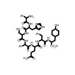 CC(C)CC(NC(=O)C(CCC(N)=O)NC(=O)C(NC(=O)C(CO)NC(=O)C(Cc1c[nH]cn1)NC(=O)C(N)C(C)C)C(C)C)C(=O)NC(CC1CCC(O)CC1)C(=O)O